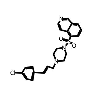 O=S(=O)(c1cccc2cnccc12)N1CCN(C/C=C/c2ccc(Cl)cc2)CC1